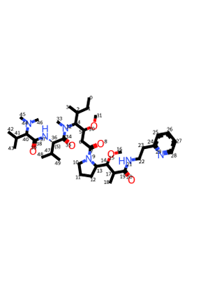 CCC(C)C(C(CC(=O)N1CCCC1C(OC)C(C)C(=O)NCCc1ccccn1)OC)N(C)C(=O)[C@@H](NC(=O)C(C(C)C)N(C)C)C(C)C